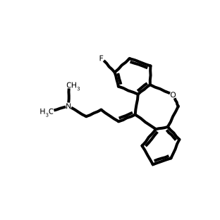 CN(C)CC/C=C1/c2ccccc2COc2ccc(F)cc21